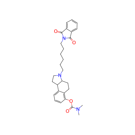 CN(C)C(=O)Oc1cccc2c1CCC1C2CCN1CCCCCCN1C(=O)c2ccccc2C1=O